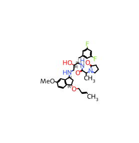 CC=CCO[C@@H]1C[C@H](NC[C@@H](O)[C@H](Cc2cc(F)cc(F)c2)NC(=O)C(C)N2CCCC2=O)c2cc(OC)ccc21